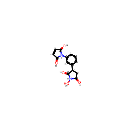 O=C1CC(c2cccc(N3C(=O)C=CC3=O)c2)C(=O)N1O